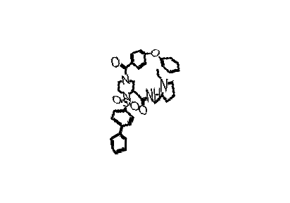 CCN1CCCC1CNC(=O)C1CN(C(=O)c2ccc(Oc3ccccc3)cc2)CCN1S(=O)(=O)c1ccc(-c2ccccc2)cc1